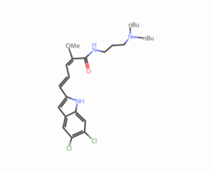 CCCCN(CCCC)CCCNC(=O)/C(=C\C=C\c1cc2cc(Cl)c(Cl)cc2[nH]1)OC